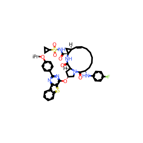 CC(C)Oc1ccc(-c2nc(O[C@@H]3C[C@H]4C(=O)N[C@]5(C(=O)NS(=O)(=O)C6CC6)C[C@H]5/C=C\CCCCC[C@H](Nc5ccc(F)cc5)C(=O)N4C3)c3sc4ccccc4c3n2)cc1